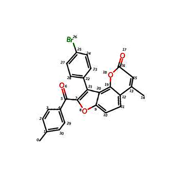 Cc1ccc(C(=O)c2oc3ccc4c(C)cc(=O)oc4c3c2-c2ccc(Br)cc2)cc1